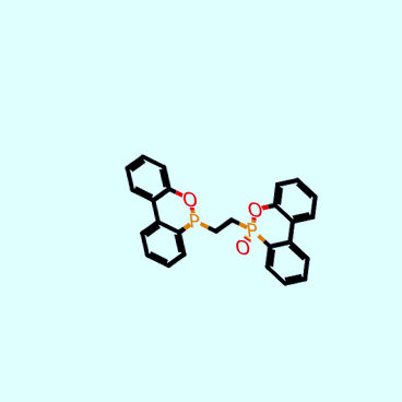 O=P1(CCP2Oc3ccccc3-c3ccccc32)Oc2ccccc2-c2ccccc21